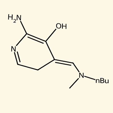 CCCCN(C)C=C1CC=NC(N)=C1O